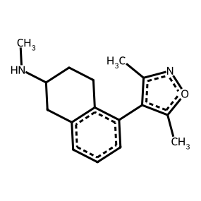 CNC1CCc2c(cccc2-c2c(C)noc2C)C1